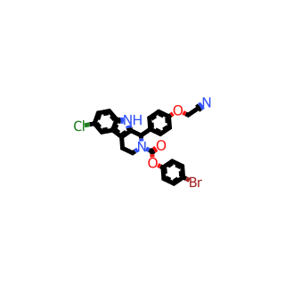 N#CCOc1ccc(C2c3[nH]c4ccc(Cl)cc4c3CCN2C(=O)Oc2ccc(Br)cc2)cc1